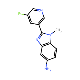 Cn1c(-c2cncc(F)c2)nc2cc(N)ccc21